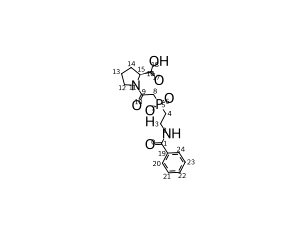 O=C(NCCP(=O)(O)CC(=O)N1CCC[C@H]1C(=O)O)c1ccccc1